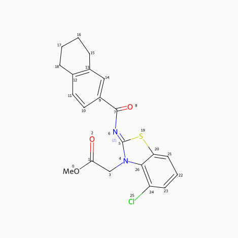 COC(=O)Cn1/c(=N/C(=O)c2ccc3c(c2)CCCC3)sc2cccc(Cl)c21